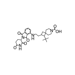 CC(C)(C)C1C(CCNc2cccc3c2C(=O)N(C2CCC(=O)NC2=O)C3=O)CC12CCN(C(=O)O)CC2